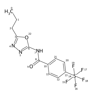 CCCc1nnc(NC(=O)c2ccc(S(F)(F)(F)(F)F)cc2)o1